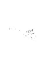 C#CCOCCNS(=O)(=O)c1ccccc1